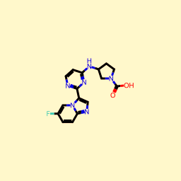 O=C(O)N1CCC(Nc2ccnc(-c3cnc4ccc(F)cn34)n2)C1